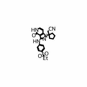 CCS(=O)(=O)c1ccc(Nc2nn(C3(CC#N)CCCC3)c3cc[nH]c(=O)c23)cc1